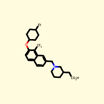 CCC1CCC(Oc2ccc3ccc(CN4CCCC(CC(=O)O)C4)cc3c2C(F)(F)F)CC1